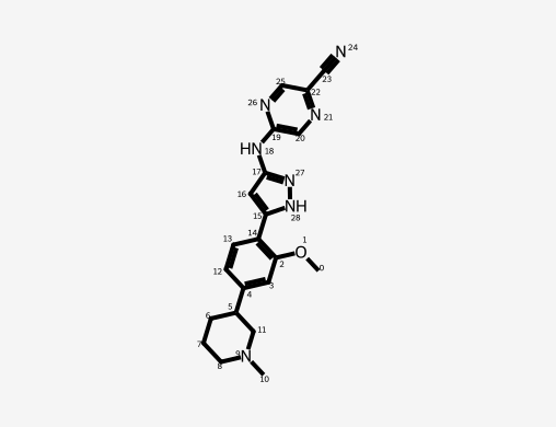 COc1cc(C2CCCN(C)C2)ccc1-c1cc(Nc2cnc(C#N)cn2)n[nH]1